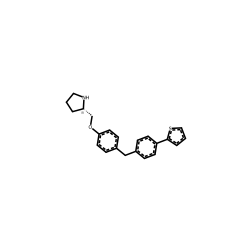 c1csc(-c2ccc(Cc3ccc(OC[C@@H]4CCCN4)cc3)cc2)c1